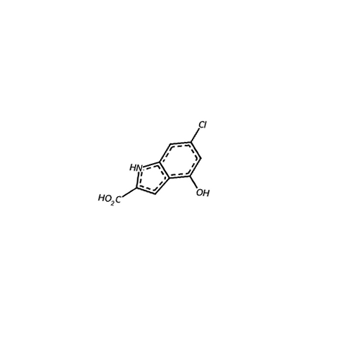 O=C(O)c1cc2c(O)cc(Cl)cc2[nH]1